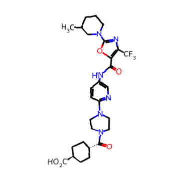 CC1CCCN(c2nc(C(F)(F)F)c(C(=O)Nc3ccc(N4CCN(C(=O)[C@H]5CC[C@H](C(=O)O)CC5)CC4)nc3)o2)C1